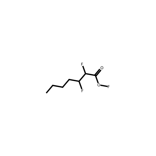 CCCCC(F)C(F)C(=O)OF